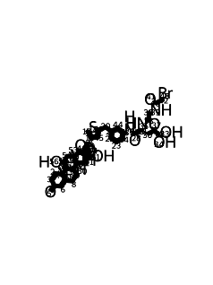 C[C@]12C=CC(=O)C=C1CC[C@H]1[C@@H]3C[C@H]4O[C@@H](c5csc(Cc6cccc(NC(=O)[C@H](CCC(O)O)NC(=O)CNC(=O)CBr)c6)c5)O[C@@]4(C(=O)CO)[C@@]3(C)C[C@H](O)[C@@]12F